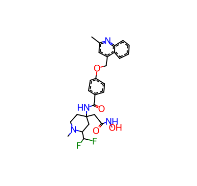 Cc1cc(COc2ccc(C(=O)NC3(CC(=O)NO)CCN(C)C(C(F)F)C3)cc2)c2ccccc2n1